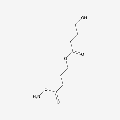 NOC(=O)CCCOC(=O)CCCO